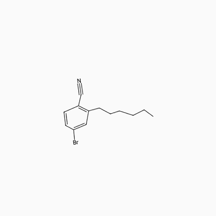 CCCCCCc1cc(Br)ccc1C#N